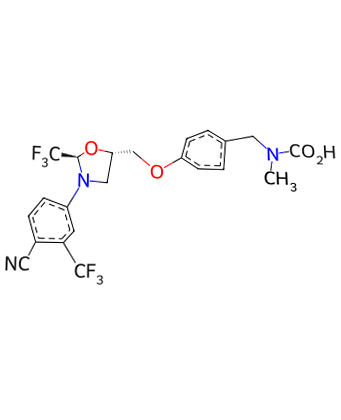 CN(Cc1ccc(OC[C@@H]2CN(c3ccc(C#N)c(C(F)(F)F)c3)[C@@H](C(F)(F)F)O2)cc1)C(=O)O